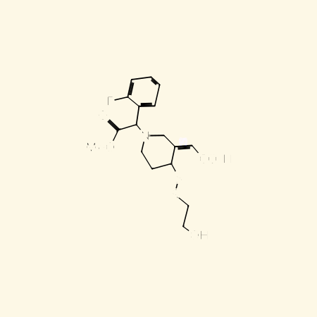 COC(=O)C(c1ccccc1F)N1CCC(SSCCO)/C(=C\C(=O)O)C1